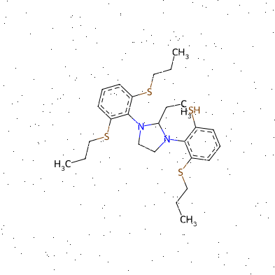 CCCSc1cccc(S)c1N1CCN(c2c(SCCC)cccc2SCCC)C1CC